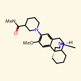 CNC(=O)C1CCCN(c2cc3c(cc2OC)[C@]24CCCCC2[C@H](C3)N(C)CC4)C1